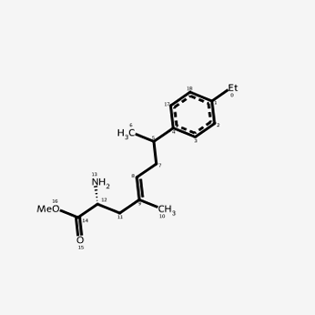 CCc1ccc(C(C)C/C=C(\C)C[C@@H](N)C(=O)OC)cc1